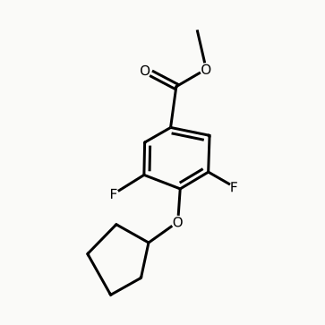 COC(=O)c1cc(F)c(OC2CCCC2)c(F)c1